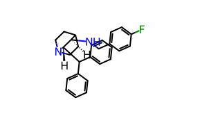 Fc1ccc(CN[C@@H]2C3CCN(CC3)[C@H]2C(c2ccccc2)c2ccccc2)cc1